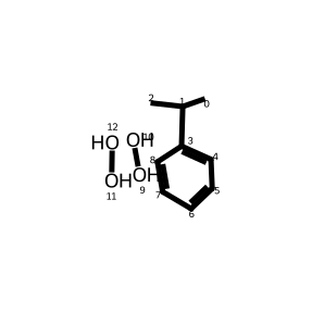 CC(C)c1ccccc1.OO.OO